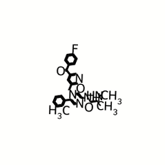 CN[C@@H](C)C(=O)Nc1ncc(-c2ccccc2C)n(Cc2cncc(C(=O)c3ccc(F)cc3)c2)c1=O